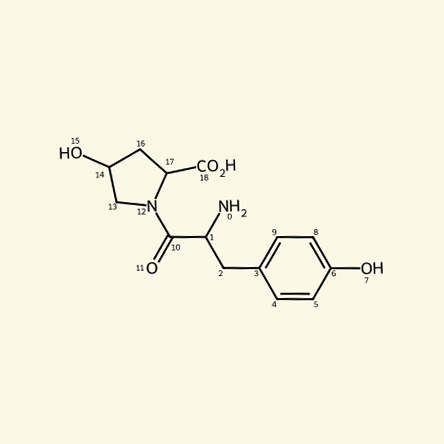 NC(Cc1ccc(O)cc1)C(=O)N1CC(O)CC1C(=O)O